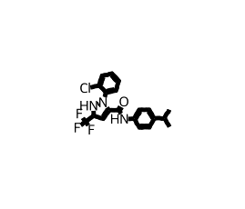 CC(C)c1ccc(NC(=O)C2=CC(C(F)(F)F)NN2c2ccccc2Cl)cc1